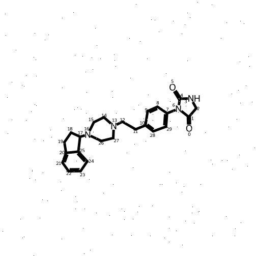 O=C1CNC(=O)N1c1ccc(CCN2CCN(C3CCc4ccccc43)CC2)cc1